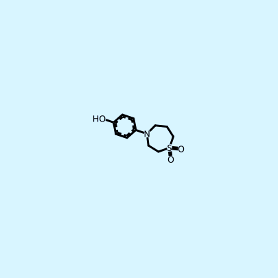 O=S1(=O)CCCN(c2ccc(O)cc2)CC1